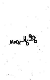 CON=CCNC(=O)CCN1C(=O)C=CC1=O